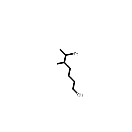 CCCC(C)C(C)CCCCO